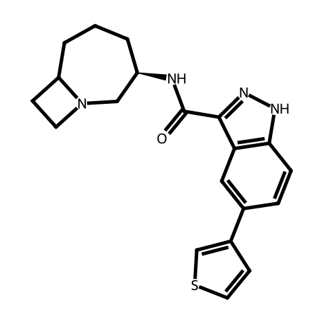 O=C(N[C@@H]1CCCC2CCN2C1)c1n[nH]c2ccc(-c3ccsc3)cc12